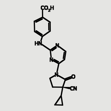 N#C[C@@]1(C2CC2)CCN(c2ccnc(Nc3ccc(C(=O)O)cc3)n2)C1=O